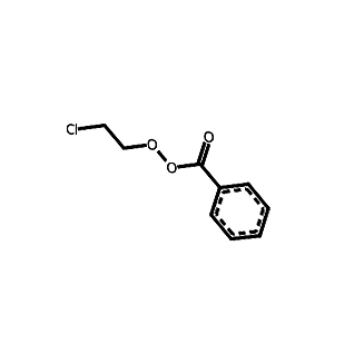 O=C(OOCCCl)c1ccccc1